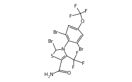 NC(=O)C1=C(C(F)(F)F)N(c2c(Br)cc(OC(F)(F)F)cc2Br)C(Br)S1